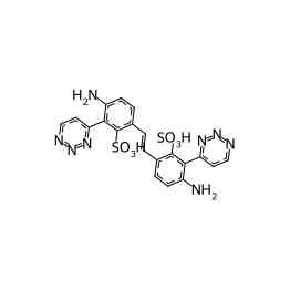 Nc1ccc(/C=C/c2ccc(N)c(-c3ccnnn3)c2S(=O)(=O)O)c(S(=O)(=O)O)c1-c1ccnnn1